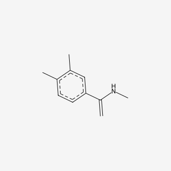 C=C(NC)c1ccc(C)c(C)c1